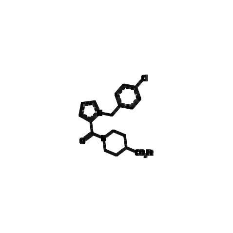 CCOC(=O)C1CCN(C(=O)c2cccn2Cc2ccc(Cl)cc2)CC1